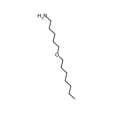 CCCCCCCOCCCCCN